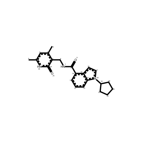 Cc1cc(C)c(CNC(=O)c2cccc3c2ccn3C2CCCC2)c(=O)[nH]1